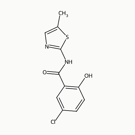 Cc1cnc(NC(=O)c2cc(Cl)ccc2O)s1